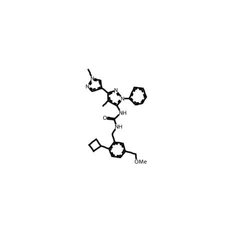 COCc1ccc(C2CCC2)c(CNC(=O)Nc2c(C)c(-c3cnn(C)c3)nn2-c2ccccc2)c1